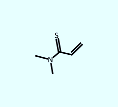 C=CC(=S)N(C)C